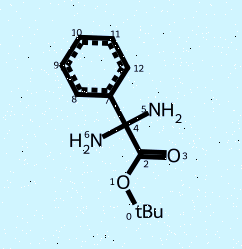 CC(C)(C)OC(=O)C(N)(N)c1c[c]ccc1